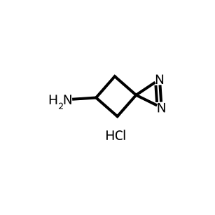 Cl.NC1CC2(C1)N=N2